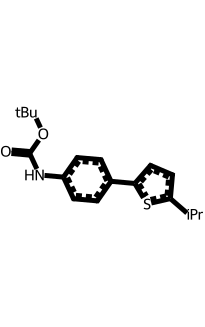 CC(C)c1ccc(-c2ccc(NC(=O)OC(C)(C)C)cc2)s1